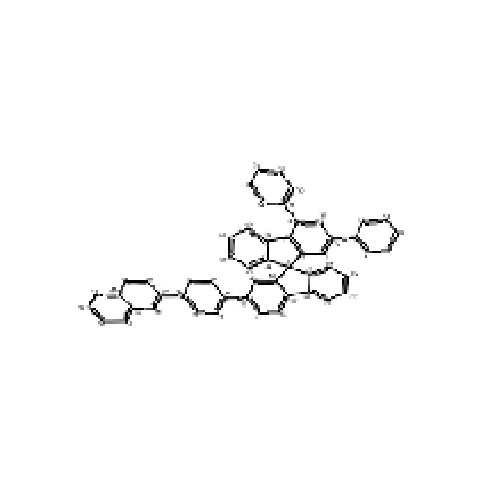 c1ccc(-c2cc3c(c(-c4ccccc4)n2)-c2ccccc2C32c3ccccc3-c3ccc(-c4ccc(-c5ccc6ccccc6c5)cc4)cc32)cc1